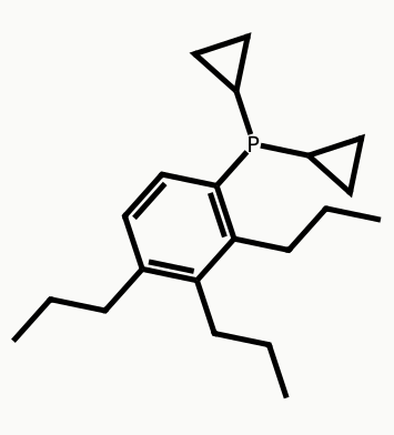 CCCc1ccc(P(C2CC2)C2CC2)c(CCC)c1CCC